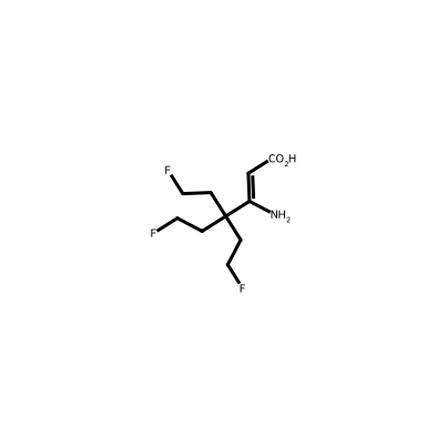 N/C(=C\C(=O)O)C(CCF)(CCF)CCF